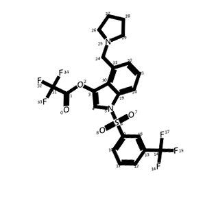 O=C(Oc1cn(S(=O)(=O)c2cccc(C(F)(F)F)c2)c2cccc(CN3CCCC3)c12)C(F)(F)F